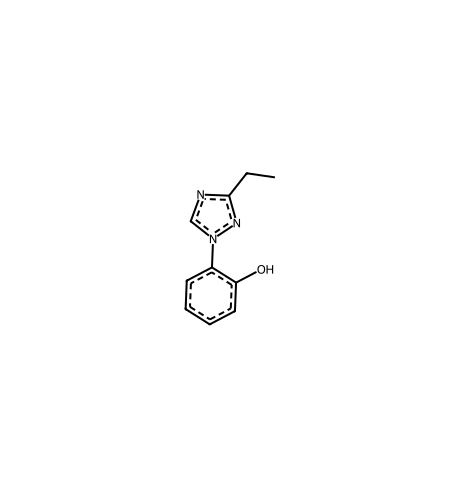 CCc1ncn(-c2ccccc2O)n1